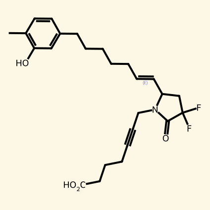 Cc1ccc(CCCCC/C=C/C2CC(F)(F)C(=O)N2CC#CCCCC(=O)O)cc1O